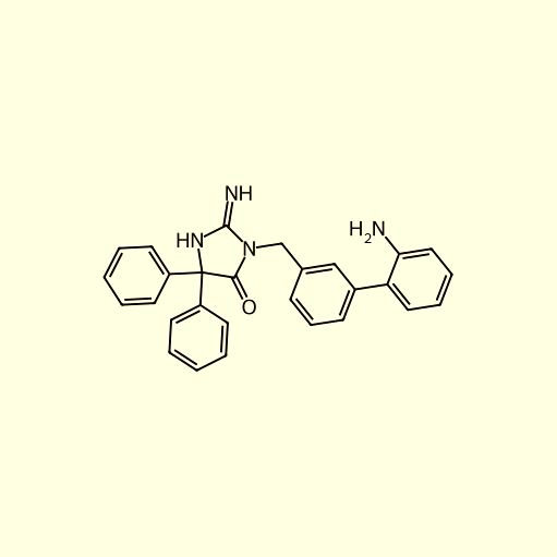 N=C1NC(c2ccccc2)(c2ccccc2)C(=O)N1Cc1cccc(-c2ccccc2N)c1